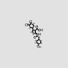 COc1ccc(CC(=O)Nc2scc(-c3ccc(Cl)c(Cl)c3)c2C(=O)O)cc1